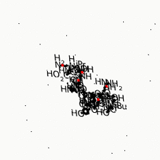 CC[C@H](C)[C@H](NC(=O)[C@@H](N)CO)C(=O)N[C@@H](CO)C(=O)N[C@@H](CCCNC(=N)N)C(=O)NCC(=O)NCC(=O)N[C@@H](Cc1ccc(O)cc1)C(=O)N[C@@H](CO)C(=O)N[C@@H](Cc1c[nH]c2ccccc12)C(=O)N[C@@H](Cc1c[nH]cn1)C(=O)N[C@@H](CO)C(=O)NCC(=O)N[C@@H](CO)C(=O)N[C@H](C(=O)N[C@@H](CCCCN)C(=O)NCC(=O)O)C(C)C